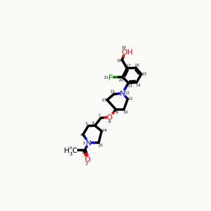 CC(=O)N1CCC(COC2CCN(c3cccc(CO)c3F)CC2)CC1